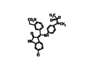 CN(c1ccc(NC(=C2C(=O)Nc3cc(Cl)ccc32)c2cccc(CC(=O)O)c2)cc1)S(C)(=O)=O